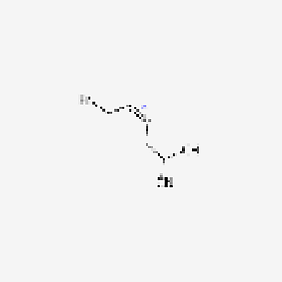 CC(C)C/C=C\CC(C)C#N